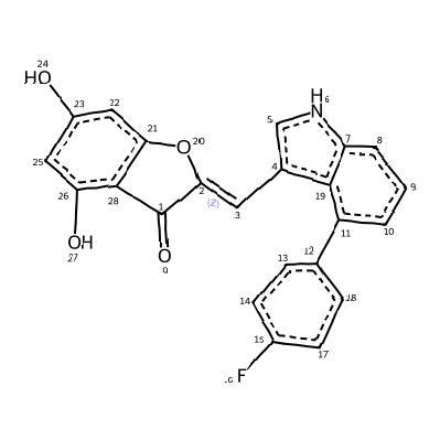 O=C1/C(=C/c2c[nH]c3cccc(-c4ccc(F)cc4)c23)Oc2cc(O)cc(O)c21